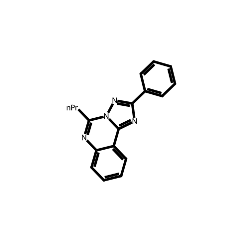 CCCc1nc2ccccc2c2nc(-c3ccccc3)nn12